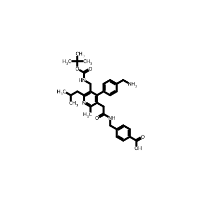 Cc1nc(CC(C)C)c(CNC(=O)OC(C)(C)C)c(-c2ccc(CN)cc2)c1CC(=O)NCc1ccc(C(=O)O)cc1